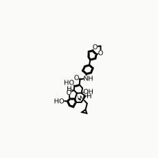 O=C(Nc1ccc(-c2ccc3c(c2)OCO3)cc1)C1=C(O)[C@@H]2Oc3c(O)ccc4c3[C@@]23CCN(CC2CC2)[C@H](C4)[C@]3(O)C1